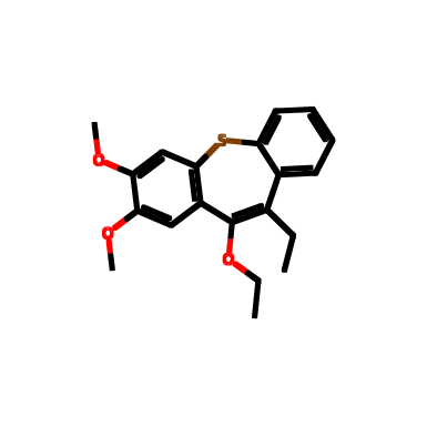 CCOC1=C(CC)c2ccccc2Sc2cc(OC)c(OC)cc21